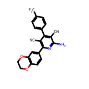 N#Cc1c(N)nc(-c2ccc3c(c2)OCCO3)c(C#N)c1-c1ccc(C(F)(F)F)cc1